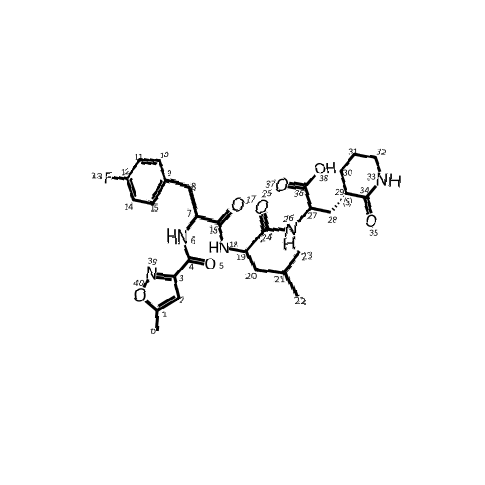 Cc1cc(C(=O)NC(Cc2ccc(F)cc2)C(=O)NC(CC(C)C)C(=O)NC(C[C@@H]2CCCNC2=O)C(=O)O)no1